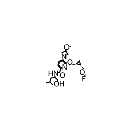 COC1CN(c2ccc(C(=O)NC(CO)CC(C)C)nc2OC[C@H]2C[C@@H]2COCF)C1